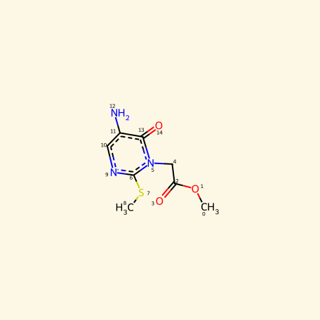 COC(=O)Cn1c(SC)ncc(N)c1=O